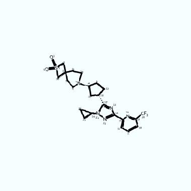 O=S1(=O)CC2(CCN([C@H]3CC[C@H](c4nc(-c5cccc(C(F)(F)F)n5)nn4C4CC4)C3)CC2)C1